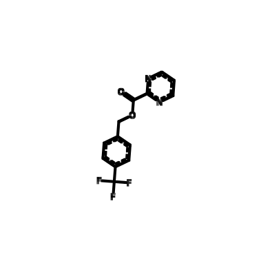 O=C(OCc1ccc(C(F)(F)F)cc1)c1ncccn1